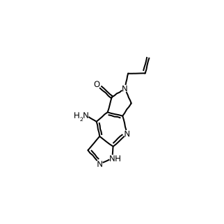 C=CCN1Cc2nc3[nH]ncc3c(N)c2C1=O